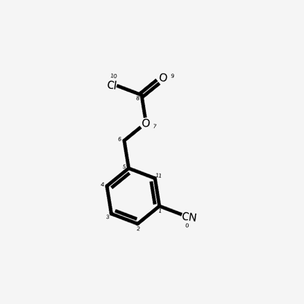 N#Cc1cccc(COC(=O)Cl)c1